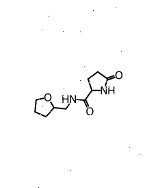 O=C1CCC(C(=O)NCC2CCCO2)N1